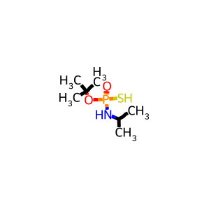 CC(C)NP(=O)(S)OC(C)(C)C